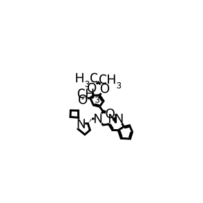 COc1cc(C(=O)N(Cc2cc3ccccc3nn2)C[C@@H]2CCCN2C2CCC2)cc2c1OC(C)(C)O2